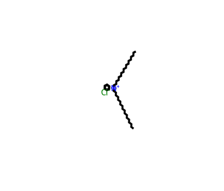 CCCCCCCCCCCCCCCCCC[N+](C)(C)CCCCCCCCCCCCCCCCCC.[Cl-].c1ccccc1